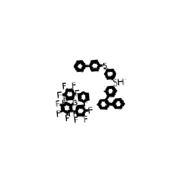 Fc1c(F)c(F)c([B-](c2ccccc2)(c2c(F)c(F)c(F)c(F)c2F)c2c(F)c(F)c(F)c(F)c2F)c(F)c1F.c1ccc(-c2ccc(Sc3ccc([SH+]c4ccc(-c5ccccc5-c5ccccc5)cc4)cc3)cc2)cc1